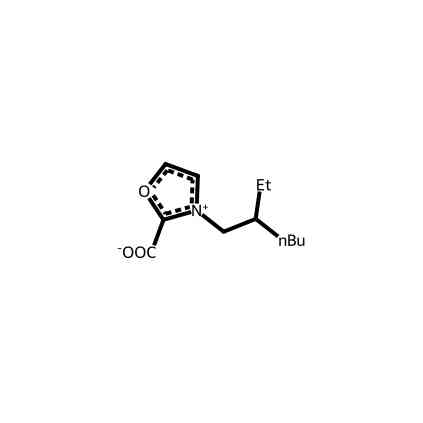 CCCCC(CC)C[n+]1ccoc1C(=O)[O-]